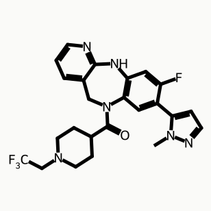 Cn1nccc1-c1cc2c(cc1F)Nc1ncccc1CN2C(=O)C1CCN(CC(F)(F)F)CC1